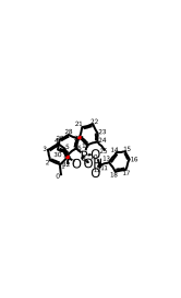 Cc1ccccc1OP(O)(OC(=O)c1ccccc1)(c1ccccc1C)c1ccccc1C